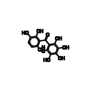 O=C(c1c(O)ccc(O)c1O)c1c(O)c(O)c(O)c(O)c1O